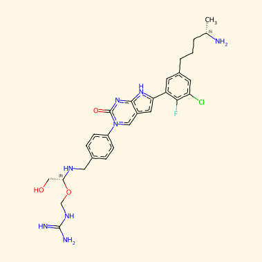 C[C@H](N)CCCc1cc(Cl)c(F)c(-c2cc3cn(-c4ccc(CN[C@@H](CO)OCNC(=N)N)cc4)c(=O)nc3[nH]2)c1